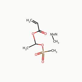 C=CC(=O)OC(C)OS(C)(=O)=O.CNC